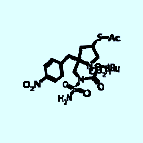 CC(=O)SC1CN(C(=O)O)C(Cc2ccc([N+](=O)[O-])cc2)(CN(C(=O)OC(C)(C)C)S(N)(=O)=O)C1